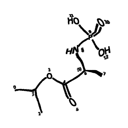 CC(C)OC(=O)[C@H](C)NP(=O)(O)O